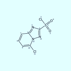 O=S(=O)(Cl)c1nc2cccc(Cl)n2n1